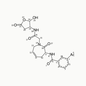 CC(=O)c1cccc(C(=O)NC2CC=CCN(CC(=O)NC3CC(=O)OC3O)C2=O)c1